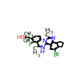 Cc1nc(N[C@H](C)c2cccc(C(F)(F)C(C)(C)O)c2F)c2cc(Br)c3c(c2n1)CCC3